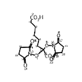 O=C(O)CCCCCC(ON1C(=O)CCC1=O)(ON1C(=O)CCC1=O)C(=O)O